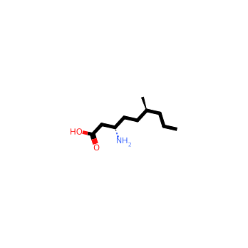 CCC[C@H](C)CC[C@H](N)CC(=O)O